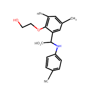 CCCc1cc(C)cc(C(Nc2ccc(C#N)cc2)C(=O)O)c1OCCO